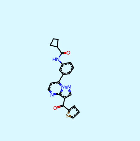 O=C(c1cccs1)c1cnn2c(-c3cccc(NC(=O)C4CCC4)c3)ccnc12